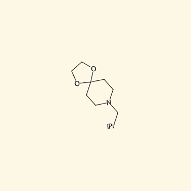 CC(C)CN1CCC2(CC1)OCCO2